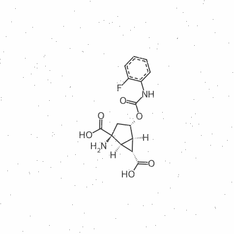 N[C@@]1(C(=O)O)C[C@H](OC(=O)Nc2ccccc2F)[C@H]2[C@H](C(=O)O)[C@H]21